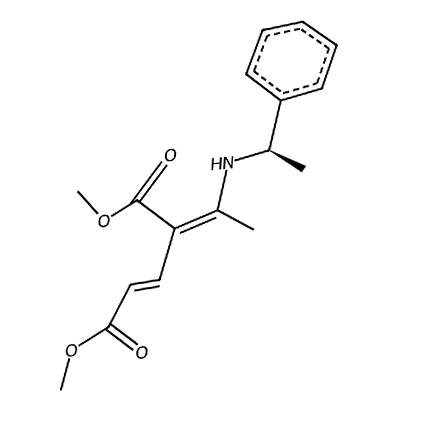 COC(=O)C=CC(C(=O)OC)=C(C)N[C@H](C)c1ccccc1